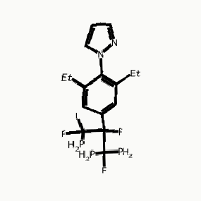 CCc1cc(C(F)(C(F)(P)P)C(F)(P)I)cc(CC)c1-n1cccn1